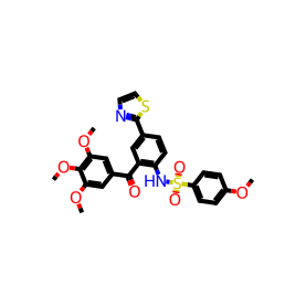 COc1ccc(S(=O)(=O)Nc2ccc(-c3nccs3)cc2C(=O)c2cc(OC)c(OC)c(OC)c2)cc1